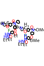 CCCCN1CCC(Oc2ccc(C(=O)N(CCOC)c3ccc(Oc4cc(F)c(NC(=O)NC(CC)CC)cc4OC)cc3)cc2C)CC1.CCCCN1CCC(Oc2ccc(C(=O)N(c3ccccc3)c3ccc(Oc4cc(F)c(NC(=O)NC(CC)CC)cc4OCC)cc3)cc2C)CC1